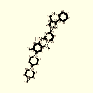 COc1cc(N2CCC(N3CCN(C)CC3)CC2)c(C)cc1Nc1nccc(-n2cc(C=O)c(-c3ccccc3)n2)n1